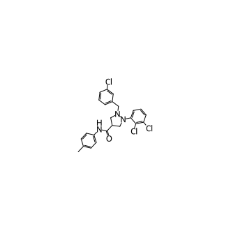 Cc1ccc(NC(=O)C2CN(Cc3cccc(Cl)c3)N(c3cccc(Cl)c3Cl)C2)cc1